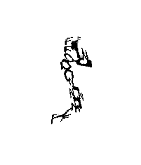 FC(F)Cn1ncc2ncc(N3CCC4(CCC(Oc5cccnc5C(F)(F)F)C4)CC3)nc21